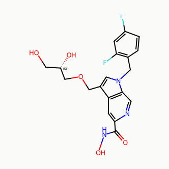 O=C(NO)c1cc2c(COC[C@@H](O)CO)cn(Cc3ccc(F)cc3F)c2cn1